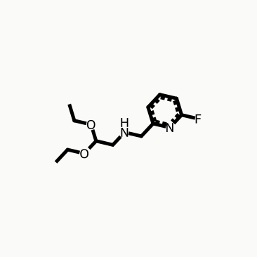 CCOC(CNCc1cccc(F)n1)OCC